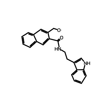 [O]Cc1cc2ccccc2cc1C(=O)NCCc1c[nH]c2ccccc12